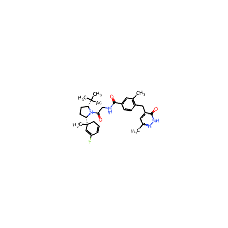 CC(=O)C(C)(C)[C@H]1CC[C@@H](C2(C)C=C(F)C=CC2)N1C(=O)CNC(=O)c1ccc(Cc2cc(C)n[nH]c2=O)c(C)c1